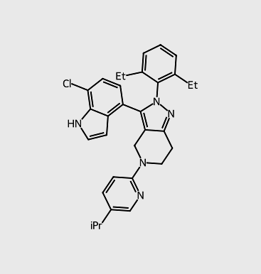 CCc1cccc(CC)c1-n1nc2c(c1-c1ccc(Cl)c3[nH]ccc13)CN(c1ccc(C(C)C)cn1)CC2